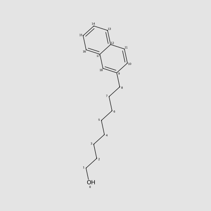 OCCCCCCCCc1ccc2ccccc2c1